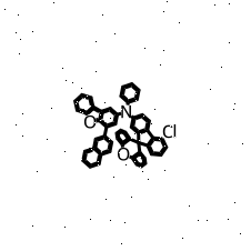 Clc1cccc2c1-c1ccc(N(c3ccccc3)c3cc(-c4ccc5ccccc5c4)c4oc5ccccc5c4c3)cc1C21c2ccccc2Oc2ccccc21